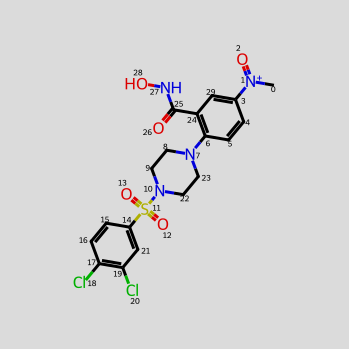 C[N+](=O)c1ccc(N2CCN(S(=O)(=O)c3ccc(Cl)c(Cl)c3)CC2)c(C(=O)NO)c1